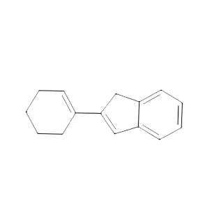 C1=C(C2=Cc3ccccc3C2)CCCC1